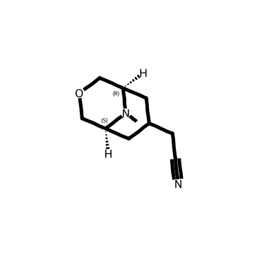 CN1[C@@H]2COC[C@H]1CC(CC#N)C2